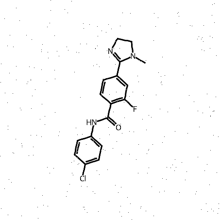 CN1CCN=C1c1ccc(C(=O)Nc2ccc(Cl)cc2)c(F)c1